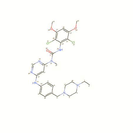 CCN1CCN(Cc2ccc(Nc3cc(N(C)C(=O)Nc4c(Cl)c(OC)cc(OC)c4Cl)ncn3)cc2)CC1